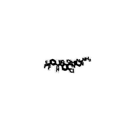 Nc1ncc(NC(=O)c2c(Cl)ccc3c(Nc4cccc(C(F)(F)F)c4)noc23)cn1